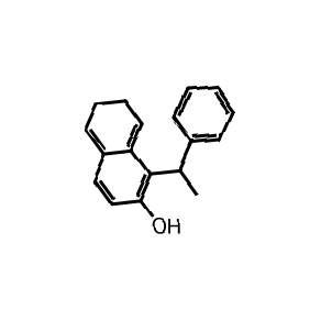 CC(c1ccccc1)c1c(O)ccc2c1=CCCC=2